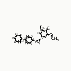 COc1cc([C@@H]2C[C@H]2c2cnc(-c3ccccn3)nc2)cc(F)c1F